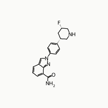 NC(=O)c1cccc2cn(-c3ccc([C@H]4CNC[C@@H](F)C4)cc3)nc12